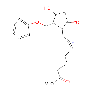 COC(=O)CCC/C=C\CC1C(=O)CC(O)C1COc1ccccc1